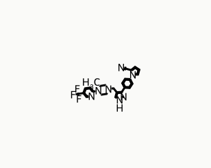 CC1CN(Cc2c[nH]nc2-c2ccc(-n3cccc3C#N)cc2)CCN1c1ccc(C(F)(F)F)cn1